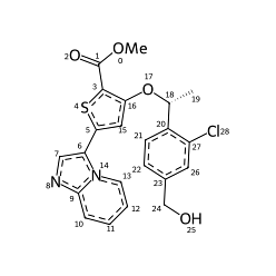 COC(=O)c1sc(-c2cnc3ccccn23)cc1O[C@H](C)c1ccc(CO)cc1Cl